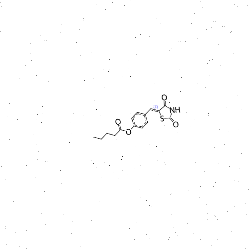 CCCCC(=O)Oc1ccc(/C=C2\SC(=O)NC2=O)cc1